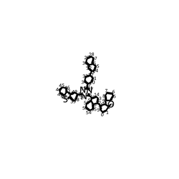 C1=CC2Oc3ccccc3C2C(c2ccc(-c3nc(-c4ccc(-c5ccc6ccccc6c5)cc4)nc(-c4ccc5sc6ccccc6c5c4)n3)c3ccccc23)=C1